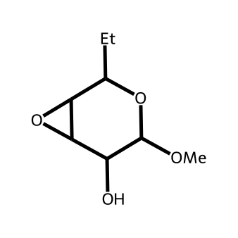 CCC1OC(OC)C(O)C2OC12